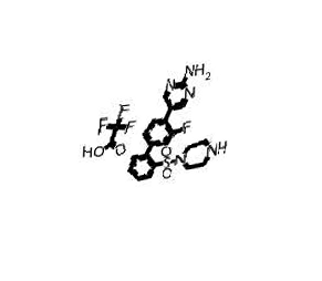 Nc1ncc(-c2ccc(-c3ccccc3S(=O)(=O)N3CCNCC3)cc2F)cn1.O=C(O)C(F)(F)F